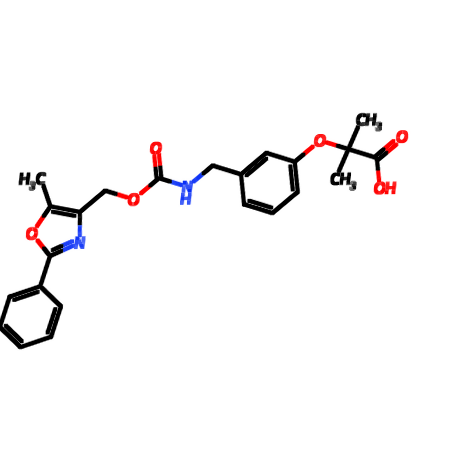 Cc1oc(-c2ccccc2)nc1COC(=O)NCc1cccc(OC(C)(C)C(=O)O)c1